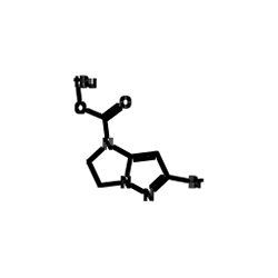 CC(C)(C)OC(=O)N1CCn2nc(Br)cc21